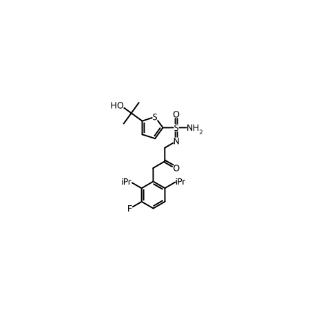 CC(C)c1ccc(F)c(C(C)C)c1CC(=O)CN=S(N)(=O)c1ccc(C(C)(C)O)s1